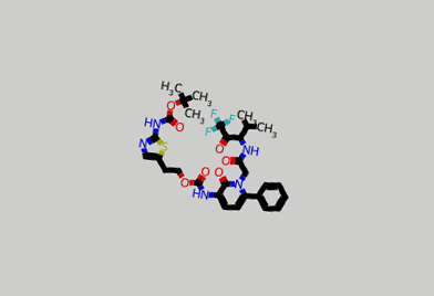 CC(C)C(NC(=O)Cn1c(-c2ccccc2)ccc(NC(=O)OCCc2cnc(NC(=O)OC(C)(C)C)s2)c1=O)C(=O)C(F)(F)F